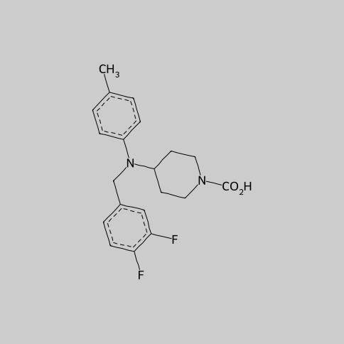 Cc1ccc(N(Cc2ccc(F)c(F)c2)C2CCN(C(=O)O)CC2)cc1